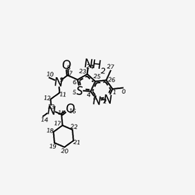 Cc1nnc2sc(C(=O)N(C)CCN(C)C(=O)C3CCCCC3)c(N)c2c1C